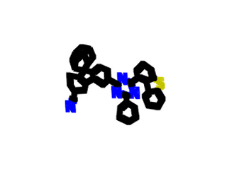 N#Cc1ccc2c(c1)-c1cc(-c3nc(-c4ccccc4)nc(-c4cccc5sc6ccccc6c45)n3)ccc1C21C2CC3CC(C2)CC1C3